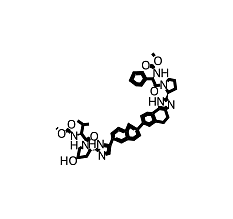 COC(=O)N[C@H](C(=O)N1CCC[C@H]1c1nc2c([nH]1)-c1ccc(-c3ccc4cc(-c5cnc([C@@H]6C[C@H](O)CN6C(=O)[C@@H](NC(=O)OC)C(C)C)[nH]5)ccc4c3)cc1CC2)c1ccccc1